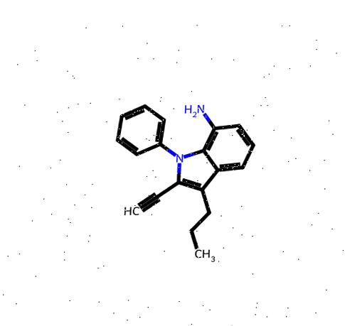 C#Cc1c(CCC)c2cccc(N)c2n1-c1ccccc1